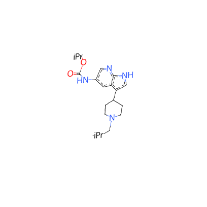 C[C](C)CN1CCC(c2c[nH]c3ncc(NC(=O)OC(C)C)cc23)CC1